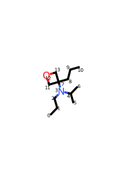 CCCN(C(C)C)C1(CCC)COC1